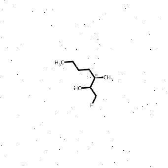 CCCC[C@@H](C)C(O)CF